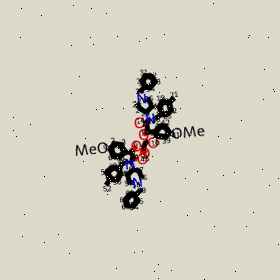 COc1ccc(C(OC(=O)C(=O)OC(C(=O)N(Cc2ccc(C)cc2)C2CCN(Cc3ccccc3)CC2)c2ccc(OC)cc2)C(=O)N(Cc2ccc(C)cc2)C2CCN(Cc3ccccc3)CC2)cc1